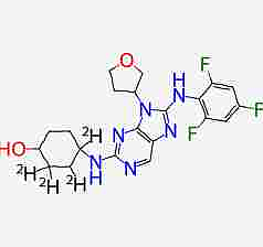 [2H]C1C([2H])(Nc2ncc3nc(Nc4c(F)cc(F)cc4F)n(C4CCOC4)c3n2)CCC(O)C1([2H])[2H]